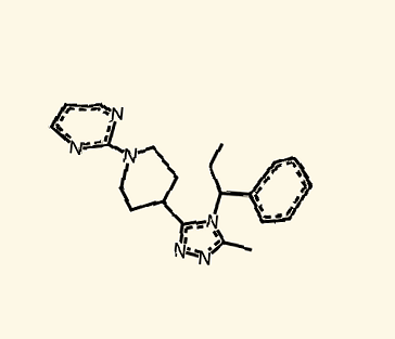 CCC(c1ccccc1)n1c(C)nnc1C1CCN(c2ncccn2)CC1